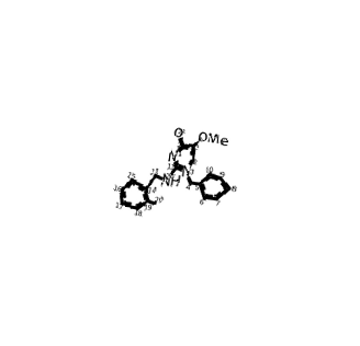 COc1cn(Cc2ccccc2)c(NCc2ccccc2C)nc1=O